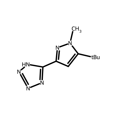 Cn1nc(-c2nnn[nH]2)cc1C(C)(C)C